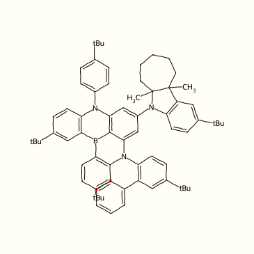 CC(C)(C)c1ccc(N2c3ccc(C(C)(C)C)cc3B3c4ccc(C(C)(C)C)cc4N(c4ccc(C(C)(C)C)cc4-c4ccccc4)c4cc(N5c6ccc(C(C)(C)C)cc6C6(C)CCCCCC56C)cc2c43)cc1